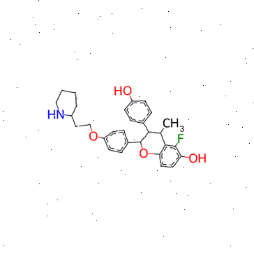 CC1c2c(ccc(O)c2F)OC(c2ccc(OCCC3CCCCN3)cc2)C1c1ccc(O)cc1